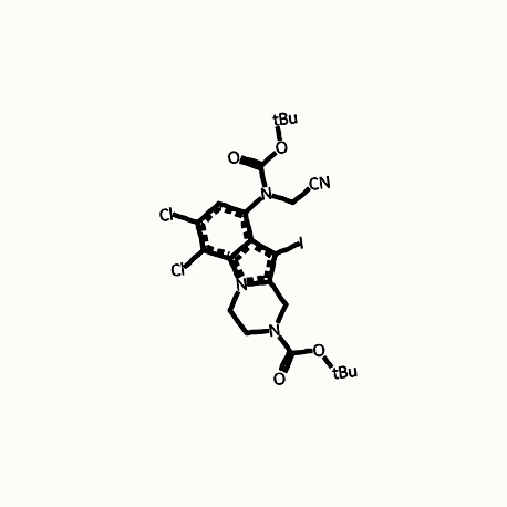 CC(C)(C)OC(=O)N1CCn2c(c(I)c3c(N(CC#N)C(=O)OC(C)(C)C)cc(Cl)c(Cl)c32)C1